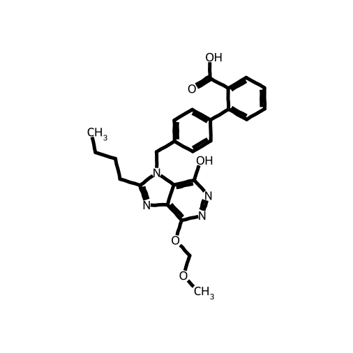 CCCCc1nc2c(OCOC)nnc(O)c2n1Cc1ccc(-c2ccccc2C(=O)O)cc1